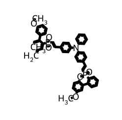 C=C/C=C1\C(=C/C)c2cc(OC)ccc2OP1(=O)/C=C/c1ccc(N(c2ccccc2)c2ccc(/C=C/P3(=O)Oc4ccc(OC)cc4-c4ccccc43)cc2)cc1